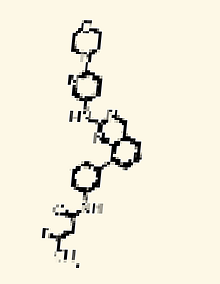 CC(F)=CC(=O)Nc1cccc(-c2cccc3cnc(Nc4ccc(N5CCOCC5)nc4)nc23)c1